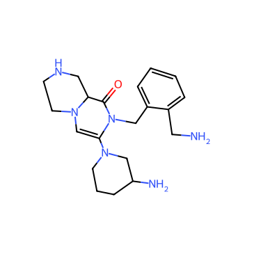 NCc1ccccc1CN1C(=O)C2CNCCN2C=C1N1CCCC(N)C1